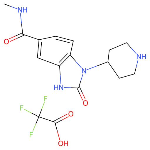 CNC(=O)c1ccc2c(c1)[nH]c(=O)n2C1CCNCC1.O=C(O)C(F)(F)F